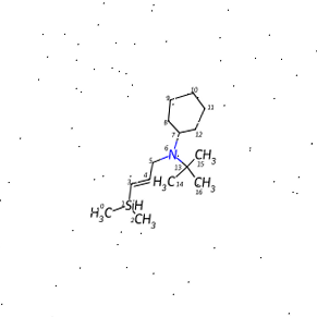 C[SiH](C)C=CCN(C1CCCCC1)C(C)(C)C